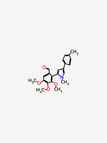 COc1cc(C=O)c(-c2cc(-c3ccc(C)cc3)cn2C)c(OC)c1OC